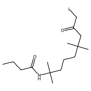 CCCC(=O)NC(C)(C)CCCC(C)(C)CC(=O)CI